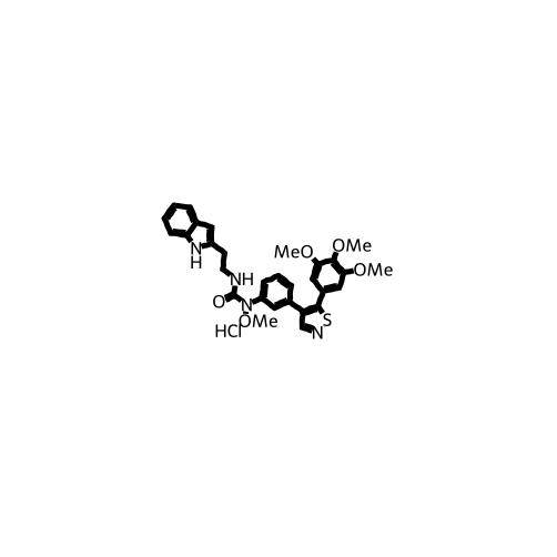 COc1cc(-c2sncc2-c2cccc(N(OC)C(=O)NCCc3cc4ccccc4[nH]3)c2)cc(OC)c1OC.Cl